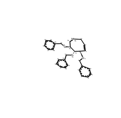 C1=C\[C@@H](OCc2ccccc2)[C@H](OCc2ccccc2)[C@@H](OCc2ccccc2)CNC/1